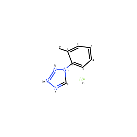 Cc1ccccc1-n1cnnn1.F